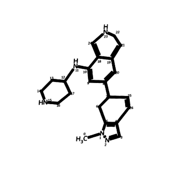 Cn1ncc2c1CC(c1cc(NC3CCNCC3)c3c(c1)=CCNC=3)C=C2